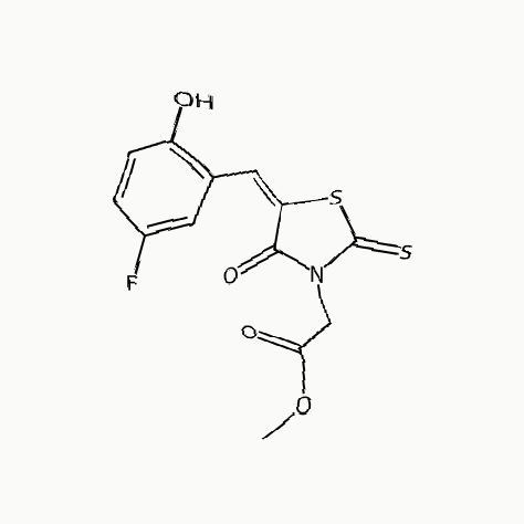 COC(=O)CN1C(=O)/C(=C\c2cc(F)ccc2O)SC1=S